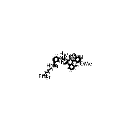 CCN(CC)CCCCNC(=O)c1cccc(Nc2nccc(N(C(=O)O)C(c3cc(OC)ccc3OC)c3c(C)cccc3C)n2)c1